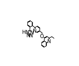 CCc1cc(OCc2ccc(-c3ccccc3-c3nnn[nH]3)nc2)c2ccccc2n1